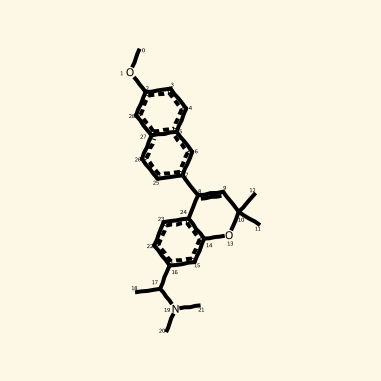 COc1ccc2cc(C3=CC(C)(C)Oc4cc(C(C)N(C)C)ccc43)ccc2c1